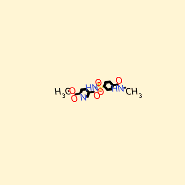 CCNC(=O)c1ccc(S(=O)(=O)NC(=O)c2ccc(C(=O)OC)nc2)cc1